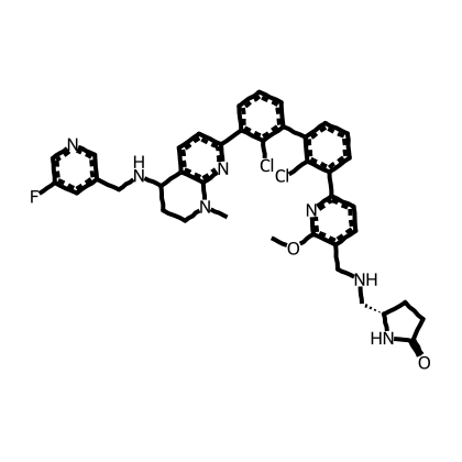 COc1nc(-c2cccc(-c3cccc(-c4ccc5c(n4)N(C)CCC5NCc4cncc(F)c4)c3Cl)c2Cl)ccc1CNC[C@@H]1CCC(=O)N1